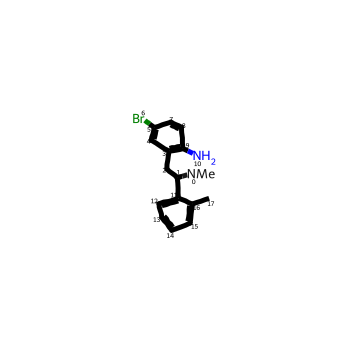 CNC(Cc1cc(Br)ccc1N)c1ccccc1C